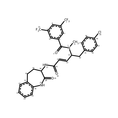 CN(C(=O)c1cc(C(F)(F)F)cc(C(F)(F)F)c1)C(C=CC(=O)NC1CCc2ccccc2NC1=O)Cc1ccc(Cl)cc1